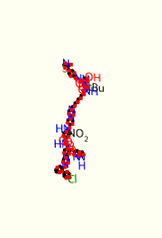 Cc1ncsc1-c1ccc(CNC(=O)[C@@H]2C[C@@H](O)CN2C(=O)[C@@H](NC(=O)CCCCCCCCN2CCN(C3CCC(CNc4ccc(S(=O)(=O)NC(=O)c5ccc(N6CCN(CC7=C(c8ccc(Cl)cc8)CC(C)(C)CC7)CC6)cc5Oc5cnc6[nH]ccc6c5)cc4[N+](=O)[O-])CC3)CC2)C(C)(C)C)cc1